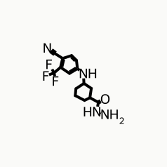 N#Cc1ccc(NC2CCCC(C(=O)NN)C2)cc1C(F)(F)F